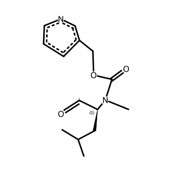 CC(C)C[C@@H]([C]=O)N(C)C(=O)OCc1cccnc1